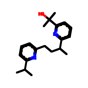 CC(C)c1cccc(CCC(C)c2cccc(C(C)(C)O)n2)n1